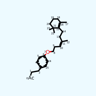 CC(=O)CCc1ccc(OCCC=C(C)CCC2=C(C)CCCC2(C)C)cc1